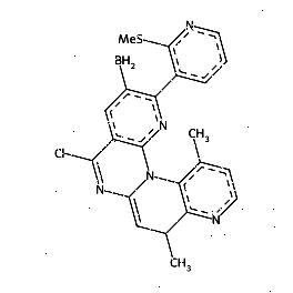 Bc1cc2c(nc1-c1cccnc1SC)N1C(=CC(C)c3nccc(C)c31)N=C2Cl